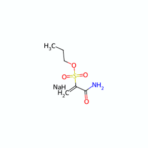 C=C(C(N)=O)S(=O)(=O)OCCC.[NaH]